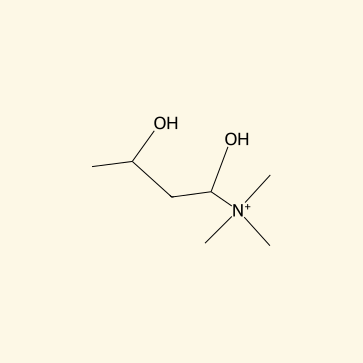 CC(O)CC(O)[N+](C)(C)C